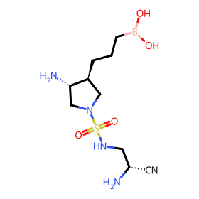 N#C[C@H](N)CNS(=O)(=O)N1C[C@H](CCCB(O)O)[C@@H](N)C1